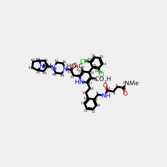 CNC(=O)CCC(=O)NCc1ccccc1CCC1=C(C(=O)O)C(c2c(Cl)cccc2Cl)C(C(=O)O)=C(CC(=O)N2CCN(C3CC4CCC(C3)N4C)CC2)N1